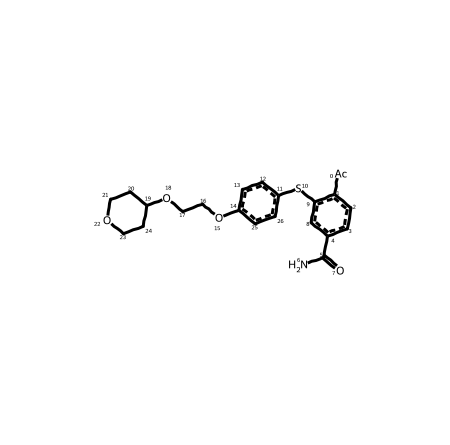 CC(=O)c1ccc(C(N)=O)cc1Sc1ccc(OCCOC2CCOCC2)cc1